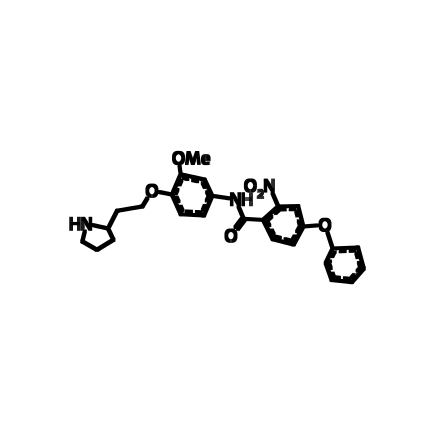 COc1cc(NC(=O)c2ccc(Oc3ccccc3)cc2[N+](=O)[O-])ccc1OCCC1CCCN1